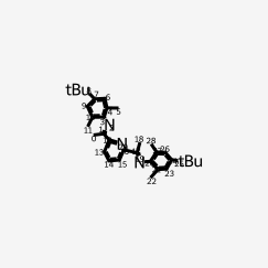 C/C(=N\c1c(C)cc(C(C)(C)C)cc1C)c1cccc(/C(C)=N/c2c(C)cc(C(C)(C)C)cc2C)n1